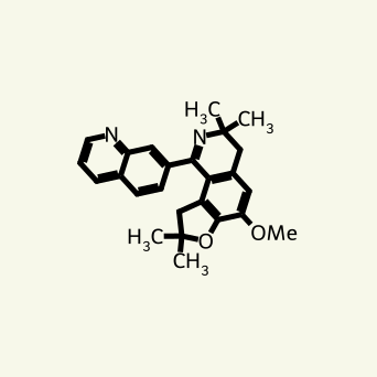 COc1cc2c(c3c1OC(C)(C)C3)C(c1ccc3cccnc3c1)=NC(C)(C)C2